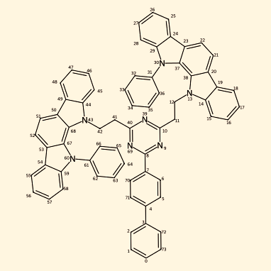 c1ccc(-c2ccc(-c3nc(CCn4c5ccccc5c5ccc6c7ccccc7n(-c7ccccc7)c6c54)nc(CCn4c5ccccc5c5ccc6c7ccccc7n(-c7ccccc7)c6c54)n3)cc2)cc1